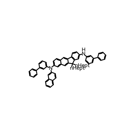 CCCCCCCC1(CCCCCCC)c2cc(Nc3cccc(-c4ccccc4)c3)ccc2-c2cc3ccc(N(c4cccc(-c5ccccc5)c4)c4ccc5ccccc5c4)cc3cc21